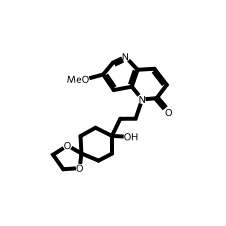 COc1cnc2ccc(=O)n(CCC3(O)CCC4(CC3)OCCO4)c2c1